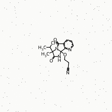 CC(C)C1(C)C(=O)NC2(OCCC#N)c3ncccc3C(=O)N21